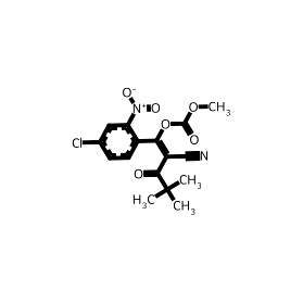 COC(=O)OC(=C(C#N)C(=O)C(C)(C)C)c1ccc(Cl)cc1[N+](=O)[O-]